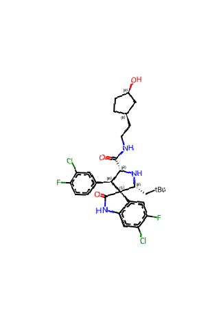 CC(C)(C)C[C@H]1N[C@@H](C(=O)NCC[C@H]2CC[C@@H](O)C2)[C@H](c2ccc(F)c(Cl)c2)[C@@]12C(=O)Nc1cc(Cl)c(F)cc12